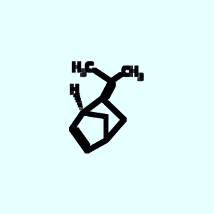 CC(C)=C1CC2C=C[C@@H]1C2